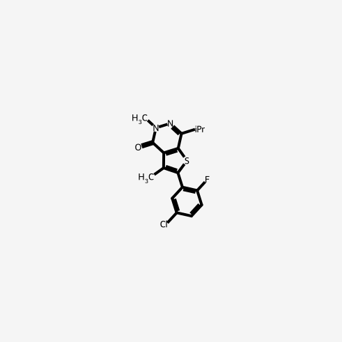 Cc1c(-c2cc(Cl)ccc2F)sc2c(C(C)C)nn(C)c(=O)c12